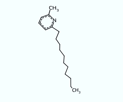 CCCCCCCCCCCc1cccc(C)n1